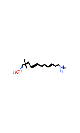 CCNCCC=CCCC=CCC(C)(C)C=NO